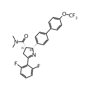 CN(C)C(=O)[C@H]1CC(c2c(F)cccc2F)=N[C@H]1c1ccc(-c2ccc(OC(F)(F)F)cc2)cc1